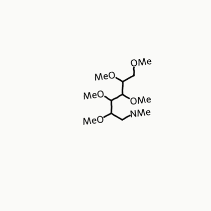 CNCC(OC)C(OC)C(OC)C(COC)OC